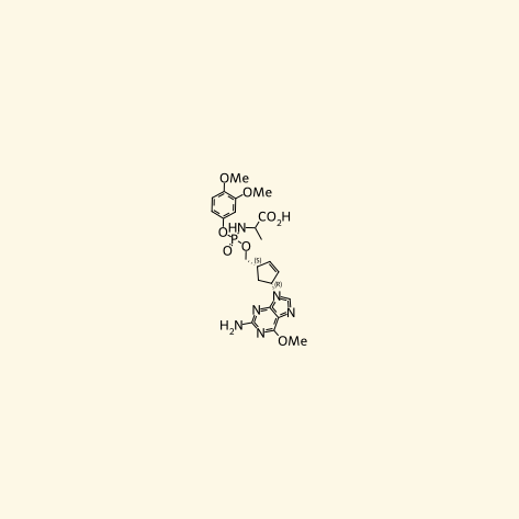 COc1ccc(OP(=O)(NC(C)C(=O)O)OC[C@@H]2C=C[C@H](n3cnc4c(OC)nc(N)nc43)C2)cc1OC